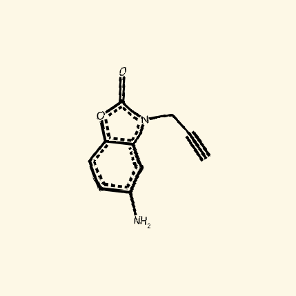 C#CCn1c(=O)oc2ccc(N)cc21